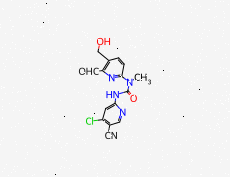 CN(C(=O)Nc1cc(Cl)c(C#N)cn1)c1ccc(CO)c(C=O)n1